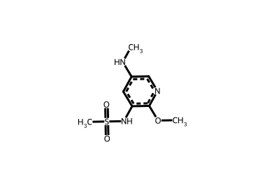 CNc1cnc(OC)c(NS(C)(=O)=O)c1